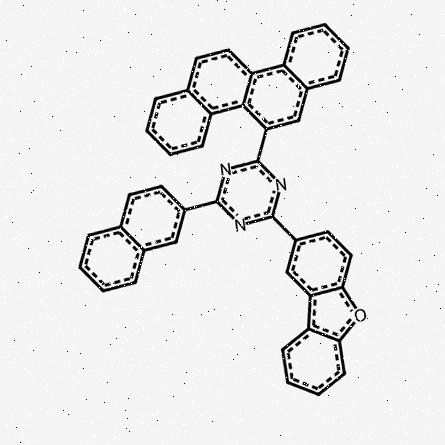 c1ccc2cc(-c3nc(-c4ccc5oc6ccccc6c5c4)nc(-c4cc5ccccc5c5ccc6ccccc6c45)n3)ccc2c1